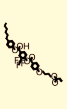 C=CC(=O)OCCCCOc1ccc(C(=O)Oc2ccc(C(O)Oc3ccc(CCCCCC)cc3)cc2C(F)(F)F)cc1